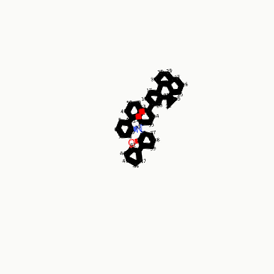 c1ccc(-c2ccccc2N(c2ccc(-c3ccc4c(c3)C3(CC3)c3cccc5cccc-4c35)cc2)c2cccc3c2oc2ccccc23)cc1